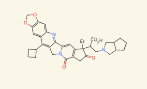 CCC1(C(CN2CC3CCCC3C2)C(=O)O)C(=O)Cc2c1cc1n(c2=O)Cc2c-1nc1cc3c(cc1c2C1CCC1)OCO3